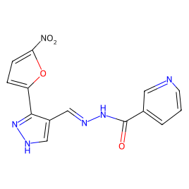 O=C(NN=Cc1c[nH]nc1-c1ccc([N+](=O)[O-])o1)c1cccnc1